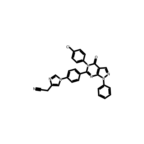 N#CCc1cn(-c2ccc(-c3nc4c(cnn4-c4ccccc4)c(=O)n3-c3ccc(Cl)cc3)cc2)cn1